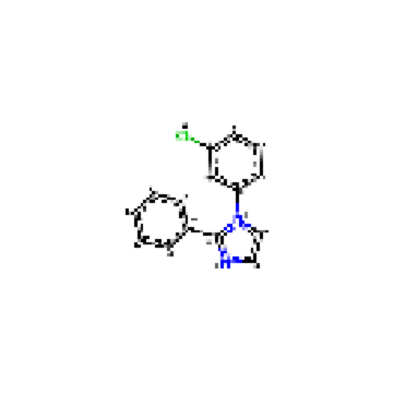 Clc1cccc(-n2[c]cnc2-c2ccccc2)c1